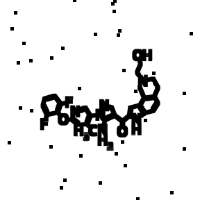 Cc1cc(Oc2c(F)cccc2F)ncc1-n1ncc(C(=O)c2cc3c4c(ccc3[nH]2)CCN(CCO)C4)c1N